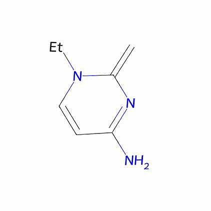 C=C1N=C(N)C=CN1CC